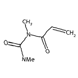 C=CC(=O)N(C)C(=O)NC